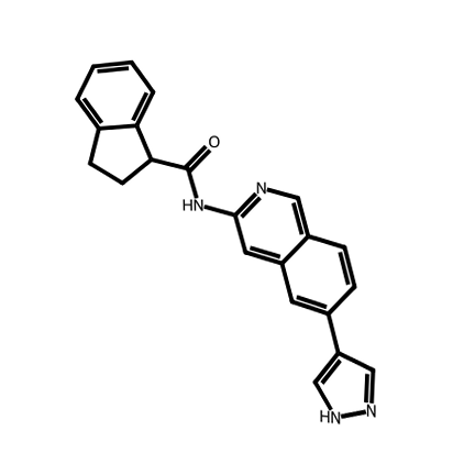 O=C(Nc1cc2cc(-c3cn[nH]c3)ccc2cn1)C1CCc2ccccc21